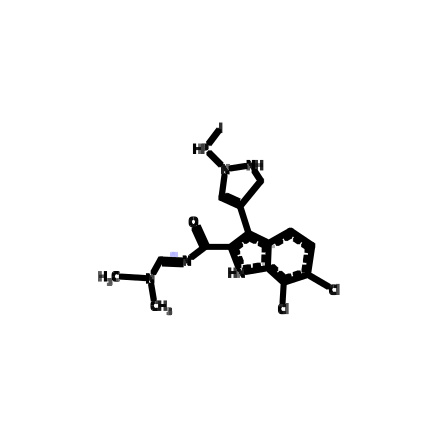 CN(C)/C=N/C(=O)c1[nH]c2c(Cl)c(Cl)ccc2c1C1=CN(PI)NC1